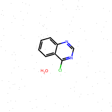 Clc1ncnc2ccccc12.O